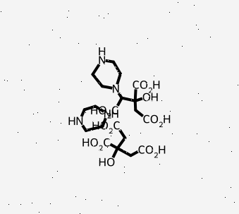 C1CNCCN1.O=C(O)CC(O)(C(=O)O)C(C(=O)O)N1CCNCC1.O=C(O)CC(O)(CC(=O)O)C(=O)O